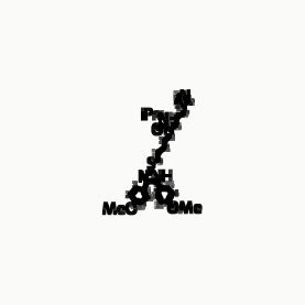 COc1ccc(-c2nc(SCCCCCN(CCCn3ccnc3)C(=O)NC(C)C)[nH]c2-c2ccc(OC)cc2)cc1